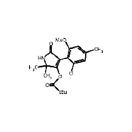 COc1cc(C)cc(Cl)c1C1=C(OC(=O)C(C)(C)C)C(C)(C)NC1=O